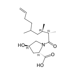 C=CCCC(C)C[C@@H](C)[C@H](C)C(=O)N1C[C@H](O)C[C@H]1C(=O)O